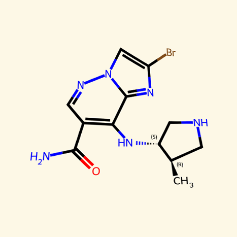 C[C@@H]1CNC[C@H]1Nc1c(C(N)=O)cnn2cc(Br)nc12